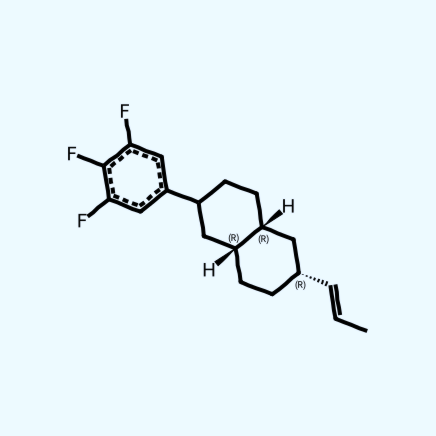 CC=C[C@@H]1CC[C@@H]2CC(c3cc(F)c(F)c(F)c3)CC[C@@H]2C1